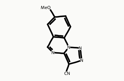 COc1ccc2c(cnc3c(C#N)nnn32)c1